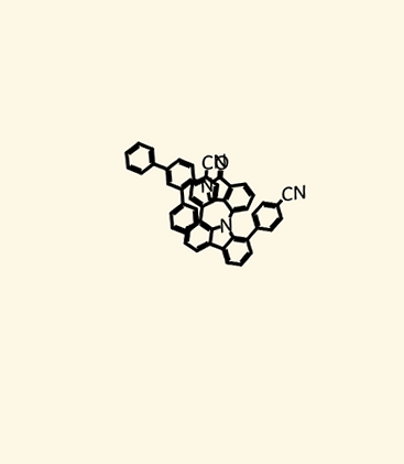 N#Cc1ccc(-c2cccc3c4cccc(-c5ccc(C#N)cc5)c4n(-c4cccc5c4CN(c4ccc(-c6ccccc6)cc4-c4ccccc4)C5=O)c23)cc1